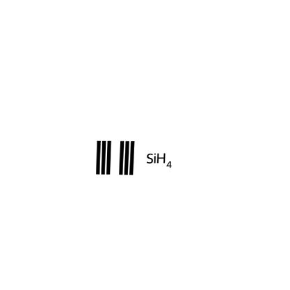 C#C.C#C.[SiH4]